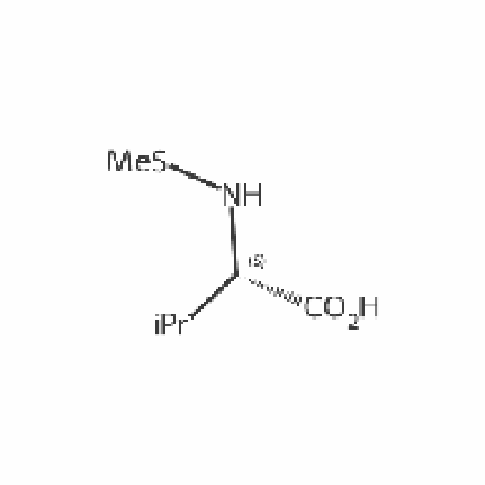 CSN[C@H](C(=O)O)C(C)C